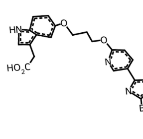 CCc1csc(-c2ccc(OCCCOc3ccc4[nH]cc(CC(=O)O)c4c3)nc2)n1